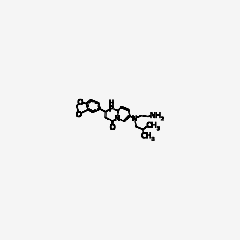 CC(C)CN(CCN)C1=CN2C(=O)C=C(c3ccc4c(c3)OCO4)PC2C=C1